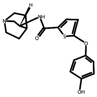 O=C(N[C@H]1CN2CCC1CC2)c1ccc(Oc2ccc(O)cc2)s1